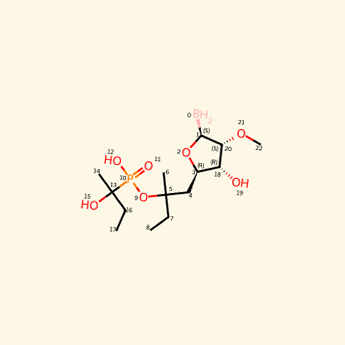 B[C@@H]1O[C@H](CC(C)(CC)OP(=O)(O)C(C)(O)CC)[C@@H](O)[C@H]1OC